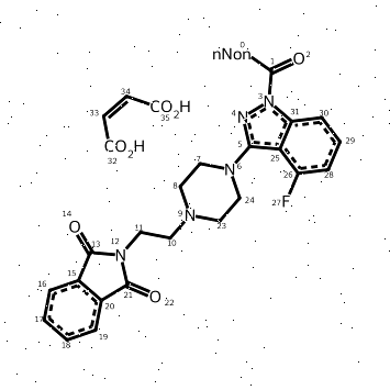 CCCCCCCCCC(=O)n1nc(N2CCN(CCN3C(=O)c4ccccc4C3=O)CC2)c2c(F)cccc21.O=C(O)/C=C\C(=O)O